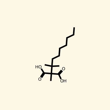 CCCCCCCC(C)(C)C(C)(C(=O)O)C(=O)O